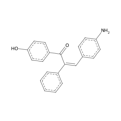 Nc1ccc(C=C(C(=O)c2ccc(O)cc2)c2ccccc2)cc1